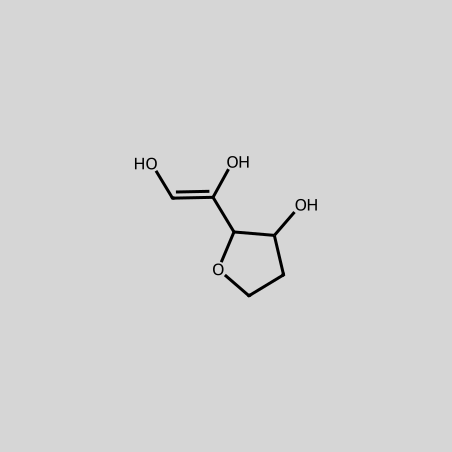 OC=C(O)C1OCCC1O